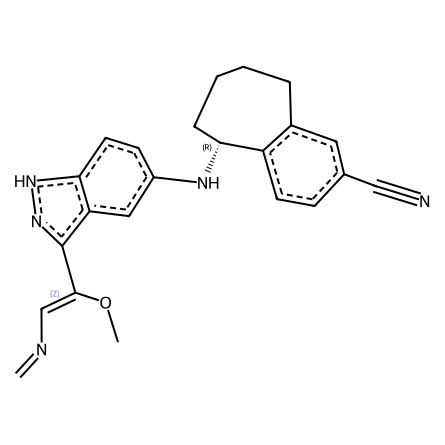 C=N/C=C(\OC)c1n[nH]c2ccc(N[C@@H]3CCCCc4cc(C#N)ccc43)cc12